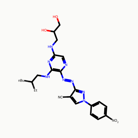 CCCCC(CC)CNc1nc(NCC(O)CO)cnc1N=Nc1nn(-c2ccc([N+](=O)[O-])cc2)cc1C#N